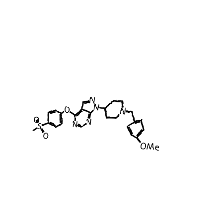 COc1ccc(CN2CCC(n3ncc4c(Oc5ccc(S(C)(=O)=O)cc5)ncnc43)CC2)cc1